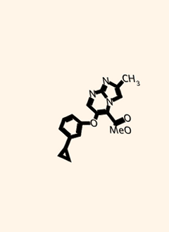 COC(=O)c1c(Oc2cccc(C3CC3)c2)cnc2nc(C)cn12